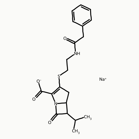 CC(C)C1C(=O)N2C(C(=O)[O-])=C(SCCNC(=O)Cc3ccccc3)CC12.[Na+]